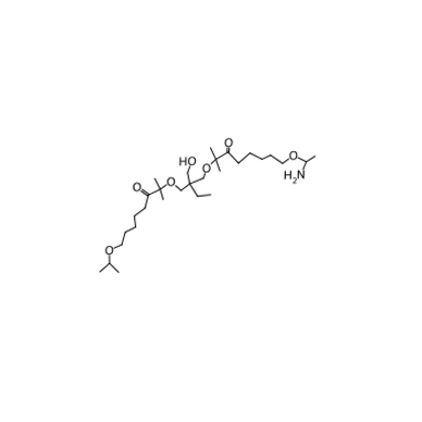 CCC(CO)(COC(C)(C)C(=O)CCCCCOC(C)C)COC(C)(C)C(=O)CCCCCOC(C)N